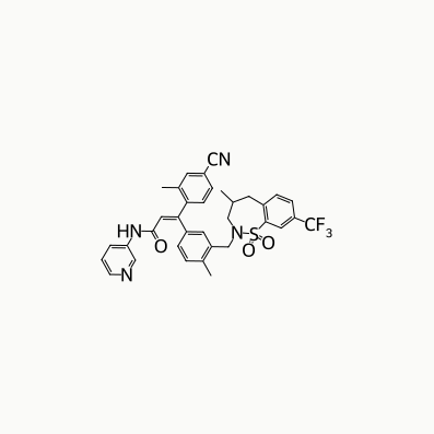 Cc1ccc(/C(=C\C(=O)Nc2cccnc2)c2ccc(C#N)cc2C)cc1CN1CC(C)Cc2ccc(C(F)(F)F)cc2S1(=O)=O